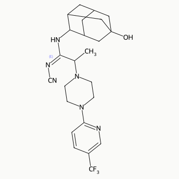 CC(/C(=N\C#N)NC1C2CC3CC1CC(O)(C3)C2)N1CCN(c2ccc(C(F)(F)F)cn2)CC1